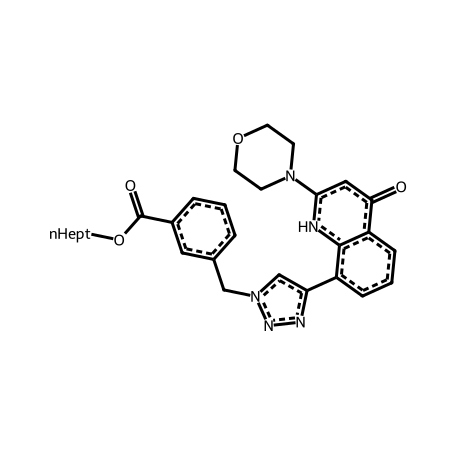 CCCCCCCOC(=O)c1cccc(Cn2cc(-c3cccc4c(=O)cc(N5CCOCC5)[nH]c34)nn2)c1